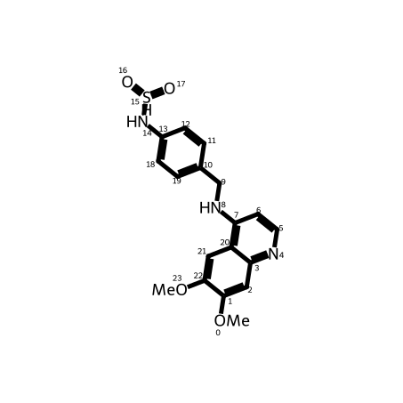 COc1cc2nccc(NCc3ccc(N[SH](=O)=O)cc3)c2cc1OC